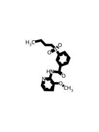 CCCCS(=O)(=O)c1cccc(C(=O)Nc2ncccc2OC)c1